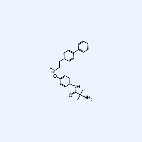 [CH2]C(C)(N)C(=O)Nc1ccc(O[C@@H](C)CCc2ccc(-c3ccccc3)cc2)cc1